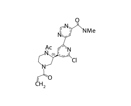 C=CC(=O)N1CCN(C(C)=O)[C@@H](c2cc(Cl)nc(-c3cc(C(=O)NC)ncn3)c2)C1